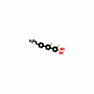 CCCc1ccc(-c2ccc(-c3ccc(B(O)O)c(F)c3)c(F)c2)cc1